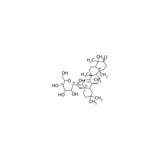 CC1(C)CC[C@]2(C[C@H](O)[C@H]3OC(CO)[C@@H](O)C(O)C3O)CC[C@]3(C)C(=CCC4[C@@]5(C)CCC(=O)C(C)(C)C5CC[C@]43C)C2C1